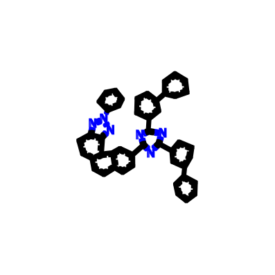 c1ccc(-c2cccc(-c3nc(-c4cccc(-c5ccccc5)c4)nc(-c4ccc5ccc6ccc7nn(-c8ccccc8)nc7c6c5c4)n3)c2)cc1